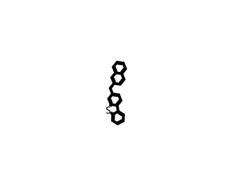 c1ccc2cc(Cc3ccc4c(c3)sc3ccccc34)ccc2c1